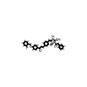 O=C(/C=C/c1ccc(/C=C2/N[C@H](S)N(C(Cc3ccccc3)C(=O)O)[S+]2[O-])cc1)c1ccc(OCc2ccccc2F)cc1